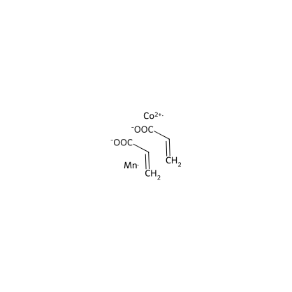 C=CC(=O)[O-].C=CC(=O)[O-].[Co+2].[Mn]